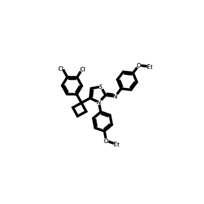 CCOc1ccc(/N=c2\scc(C3(c4ccc(Cl)c(Cl)c4)CCC3)n2-c2ccc(OCC)cc2)cc1